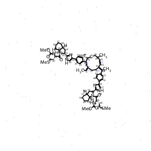 C/C=C1\C=C(\c2ccc(-c3c[nH]c([C@@H]4C[C@@H]5CCCC[C@@H]5N4C(=O)[C@H](CCSC)NC(=O)OC)n3)cc2)[C@H](C)CC[C@@H](C)/C=C\C(=C(/C)c2ccc(-c3c[nH]c([C@@H]4C[C@@H]5CCCC[C@@H]5N4C(=O)[C@H](CCSC)NC(=O)OC)n3)cc2)CC1